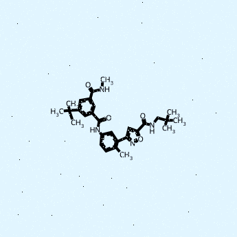 CNC(=O)c1cc(C(=O)Nc2ccc(C)c(-c3cc(C(=O)NCC(C)(C)C)on3)c2)cc(C(C)(C)C)c1